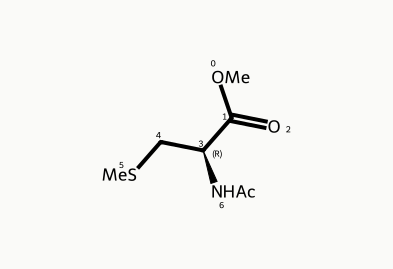 COC(=O)[C@H](CSC)NC(C)=O